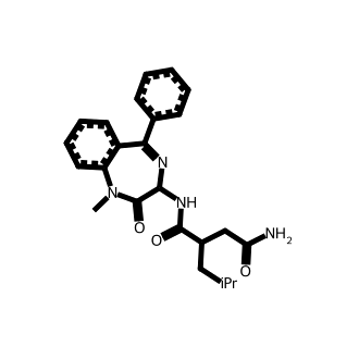 CC(C)CC(CC(N)=O)C(=O)NC1N=C(c2ccccc2)c2ccccc2N(C)C1=O